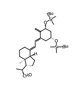 C=C1/C(=C/C=C2\CCC[C@]3(C)[C@@H]([C@H](C)C=O)CC[C@@H]23)C[C@@H](O[Si](C)(C)C(C)(C)C)C[C@@H]1O[Si](C)(C)C(C)(C)C